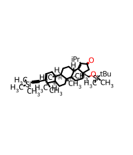 CC(C)C1=C2[C@H]3CC[C@@H]4[C@@]5(C)CC=C(C#C[Si](C)(C)C)C(C)(C)[C@@H]5CC[C@@]4(C)[C@]3(C)CC[C@@]2(CO[Si](C)(C)C(C)(C)C)CC1=O